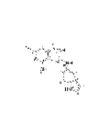 Oc1cc(F)cc2c1N=C(Nc1ccc3[nH]ccc3c1)NS2